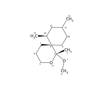 CO[C@]1(C)OCCC[C@@]12CCC(C)C[C@@H]2C